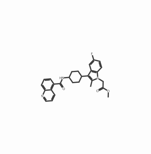 COC(=O)Cn1c(C)c(C2CCC(NC(=O)c3cccc4ncccc34)CC2)c2cc(F)ccc21